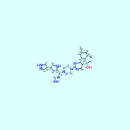 C[C@@](O)(c1cnc(N2CCN(/C(=N/C=N)c3cc(-c4cn[nH]c4)c[nH]3)CC2)nc1)c1ccc(F)cc1F